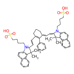 CC1(C)C(/C=C/C2=C(c3ccccc3)C(=C/C=C3/N(CCCCS(=O)(=O)O)c4ccc5ccccc5c4C3(C)C)/CCC2)=[N+](CCCCS(=O)(=O)O)c2ccc3ccccc3c21